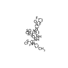 CS(=O)(=O)O.Cc1ccc(-n2nc(C3(C(F)(F)F)CC3)cc2NC(=O)Nc2ccc(N3CCN(C(=O)c4c(F)cccc4F)CC3)nc2C)cc1